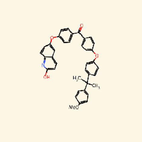 COc1ccc(C(C)(C)c2ccc(Oc3ccc(C(=O)c4ccc(Oc5ccc6nc(O)ccc6c5)cc4)cc3)cc2)cc1